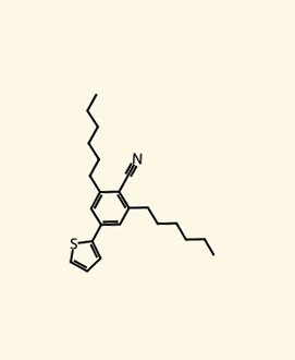 CCCCCCc1cc(-c2cccs2)cc(CCCCCC)c1C#N